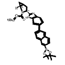 CC(C)(C)OC(=O)N1[C@@H]2CC2C[C@H]1c1nc2ccc(-c3ccc4cc(B5OC(C)(C)C(C)(C)O5)ccc4c3)cc2[nH]1